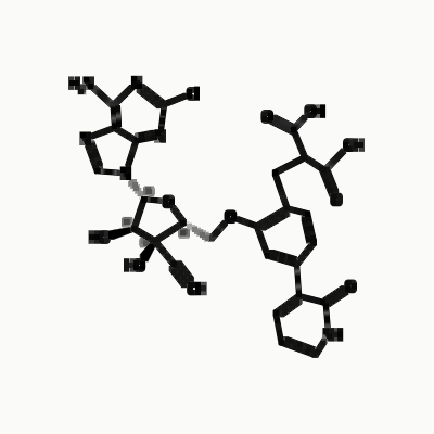 C#C[C@@]1(O)[C@@H](COc2cc(-c3ccc[nH]c3=O)ccc2CC(C(=O)O)C(=O)O)O[C@@H](n2cnc3c(N)nc(Cl)nc32)[C@@H]1O